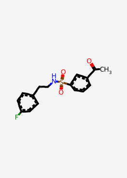 CC(=O)c1cccc(S(=O)(=O)NCCc2ccc(F)cc2)c1